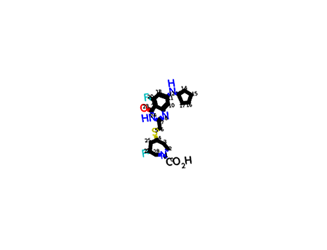 O=C(O)N1CCC(SCc2nc3cc(NC4CCCC4)cc(F)c3c(=O)[nH]2)CC(F)C1